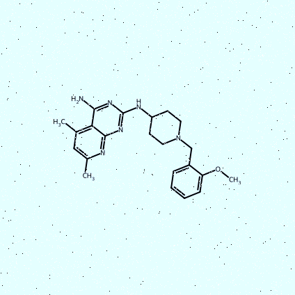 COc1ccccc1CN1CCC(Nc2nc(N)c3c(C)cc(C)nc3n2)CC1